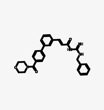 N=C(NCc1ccccc1)NC(=O)C=Cc1cccc(-c2ccc(C(=O)N3CCOCC3)cc2)c1